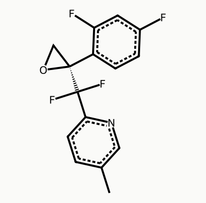 Cc1ccc(C(F)(F)[C@@]2(c3ccc(F)cc3F)CO2)nc1